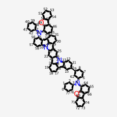 c1ccc(N(c2cccc(-c3ccc4c(c3)c3cccc5c6cc7c(cc6n4c35)c3cccc4c5c(N(c6ccccc6)c6cccc8c6oc6ccccc68)cccc5n7c34)c2)c2cccc3c2oc2ccccc23)cc1